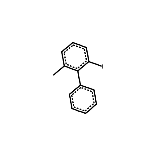 Cc1cccc(I)c1-c1ccccc1